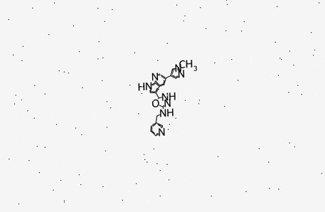 Cn1cc(-c2cnc3[nH]cc(C4NN=C(NCc5cccnc5)O4)c3c2)cn1